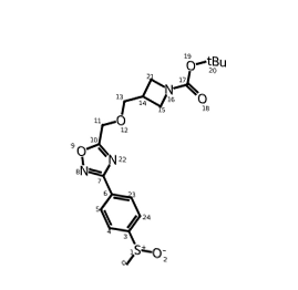 C[S+]([O-])c1ccc(-c2noc(COCC3CN(C(=O)OC(C)(C)C)C3)n2)cc1